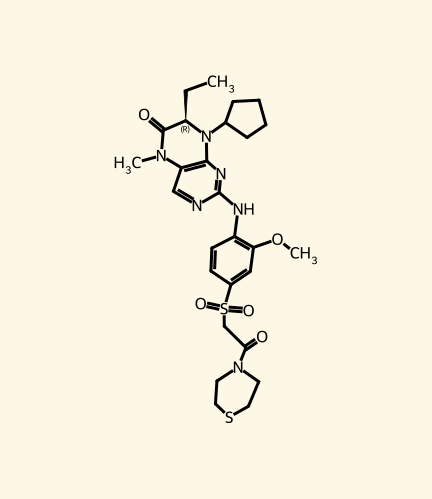 CC[C@@H]1C(=O)N(C)c2cnc(Nc3ccc(S(=O)(=O)CC(=O)N4CCSCC4)cc3OC)nc2N1C1CCCC1